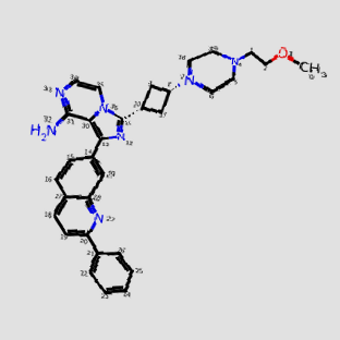 COCCN1CCN([C@H]2C[C@@H](c3nc(-c4ccc5ccc(-c6ccccc6)nc5c4)c4c(N)nccn43)C2)CC1